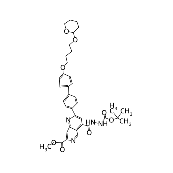 COC(=O)c1cc2nc(-c3ccc(-c4ccc(OCCCCOC5CCCCO5)cc4)cc3)cc(C(=O)NNC(=O)OC(C)(C)C)c2cn1